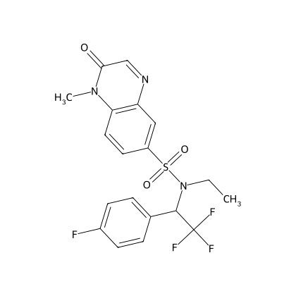 CCN(C(c1ccc(F)cc1)C(F)(F)F)S(=O)(=O)c1ccc2c(c1)ncc(=O)n2C